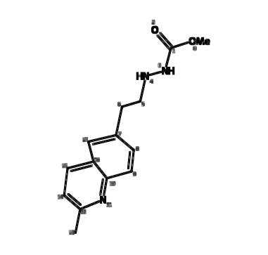 COC(=O)NNCCc1ccc2nc(C)ccc2c1